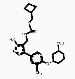 Cc1nc(-c2nnn(C)c2CNC(=O)OCC2CCC2)cnc1O[C@H]1CCC[C@H](C(=O)O)C1